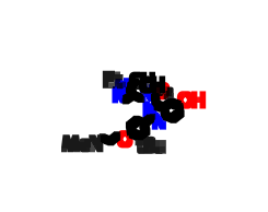 CCn1ncc(CN(C)C(=O)c2nc(-c3ccc(OCCCNC)c(C(C)(C)C)c3)nc3ccc(O)cc23)c1C